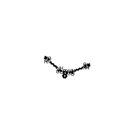 CC(C)(C)OC(=O)NCCCCCCNC(=O)COC(=O)c1ccccc1C(=O)OCC(=O)NCCCCCCNC(=O)OC(C)(C)C